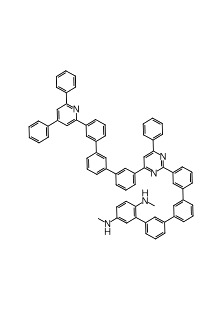 CNc1ccc(NC)c(-c2cccc(-c3cccc(-c4cccc(-c5nc(-c6ccccc6)cc(-c6cccc(-c7cccc(-c8cccc(-c9cc(-c%10ccccc%10)cc(-c%10ccccc%10)n9)c8)c7)c6)n5)c4)c3)c2)c1